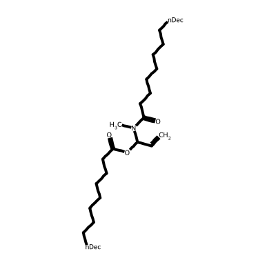 C=CC(OC(=O)CCCCCCCCCCCCCCCCC)N(C)C(=O)CCCCCCCCCCCCCCCCC